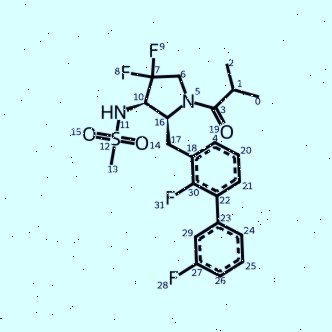 CC(C)C(=O)N1CC(F)(F)[C@H](NS(C)(=O)=O)[C@@H]1Cc1cccc(-c2cccc(F)c2)c1F